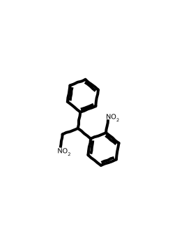 O=[N+]([O-])CC(c1ccccc1)c1ccccc1[N+](=O)[O-]